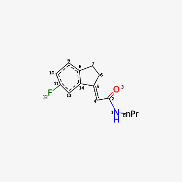 CCCNC(=O)C=C1CCc2ccc(F)cc21